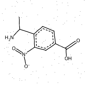 CC(N)c1ccc(C(=O)O)cc1[N+](=O)[O-]